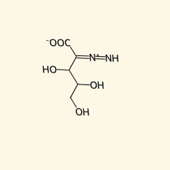 N=[N+]=C(C(=O)[O-])C(O)C(O)CO